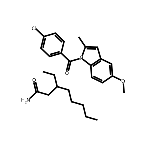 CCCCCC(CC)CC(N)=O.COc1ccc2c(c1)cc(C)n2C(=O)c1ccc(Cl)cc1